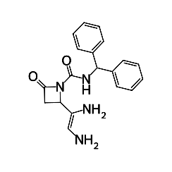 N/C=C(\N)C1CC(=O)N1C(=O)NC(c1ccccc1)c1ccccc1